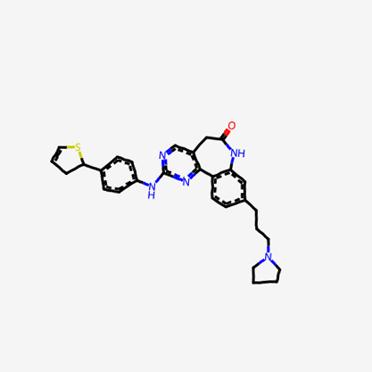 O=C1Cc2cnc(Nc3ccc(C4CC=CS4)cc3)nc2-c2ccc(CCCN3CCCC3)cc2N1